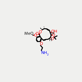 COCOc1ccc(OCCCN)c2c1C(=O)O[C@@H](C)[C@H](C)/C=C\C(O)[C@H]1OC(C)(C)O[C@H]1C/C=C/2